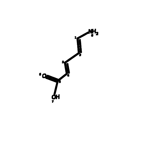 NC=CC=CC(=O)O